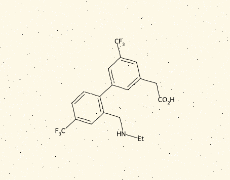 CCNCc1cc(C(F)(F)F)ccc1-c1cc(CC(=O)O)cc(C(F)(F)F)c1